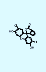 O=C1OC2(c3cc(Cl)c(O)cc3Oc3cc(O)c(Cl)cc32)c2c[c]ccc21